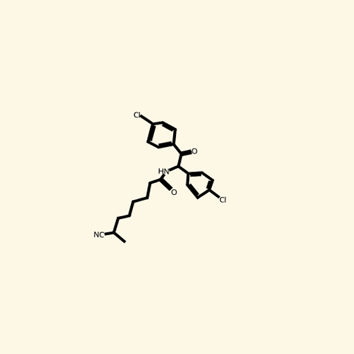 CC(C#N)CCCCCC(=O)NC(C(=O)c1ccc(Cl)cc1)c1ccc(Cl)cc1